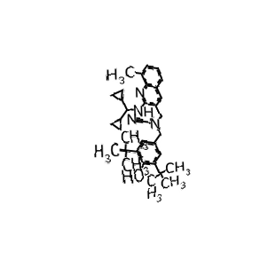 Cc1cccc2cc(CN(C#N)Cc3cc(C(C)(C)C)c(O)c(C(C)(C)C)c3)c(NC(C3CC3)C3CC3)nc12